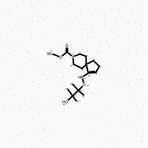 CC(C)(C)OC(=O)N1CCC2(CCC=C2BOC(C)(C)C(C)(C)O)CC1